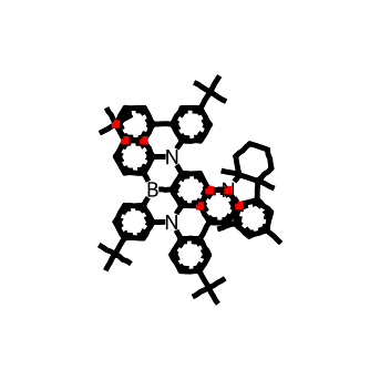 Cc1cc(C)c2c(c1)C1(C)CCCCC1(C)N2c1cc2c3c(c1)N(c1ccc(C(C)(C)C)cc1-c1ccccc1)c1cc(C(C)(C)C)ccc1B3c1ccc(C(C)(C)C)cc1N2c1ccc(C(C)(C)C)cc1-c1ccccc1